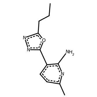 CCCc1nnc(-c2ccc(C)nc2N)o1